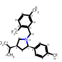 CC(C(=O)O)[C@@H]1C[C@H](c2ccc(C(F)(F)F)cc2)N(Cc2cc(C(F)(F)F)ccc2C(F)(F)F)C1